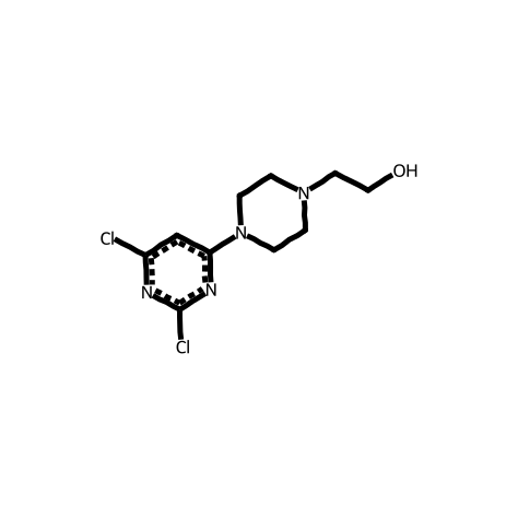 OCCN1CCN(c2cc(Cl)nc(Cl)n2)CC1